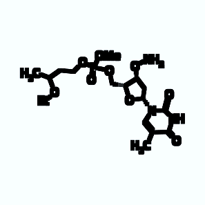 CCOC(C)CCOP(=O)(OC)OC[C@H]1O[C@@H](n2cc(C)c(=O)[nH]c2=O)C[C@H]1ON